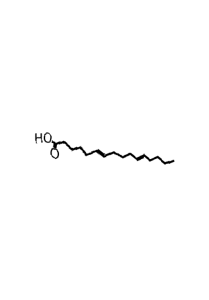 CCCCC=CCCCC=CCCCCC(=O)O